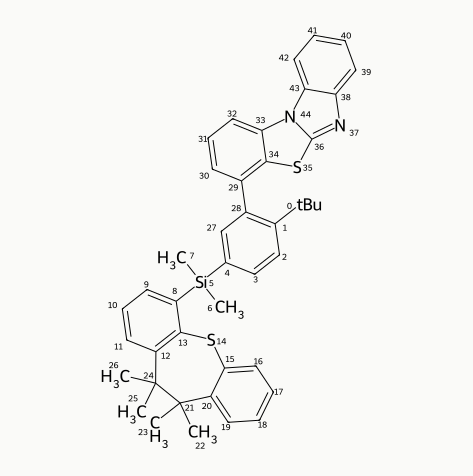 CC(C)(C)c1ccc([Si](C)(C)c2cccc3c2Sc2ccccc2C(C)(C)C3(C)C)cc1-c1cccc2c1sc1nc3ccccc3n12